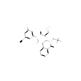 CN/C=C(\C=N)[C@@H]1[C@@H](C(O)Nc2cc(F)cc(C#N)c2)c2ccccc2C(=O)N1CC(F)(F)F